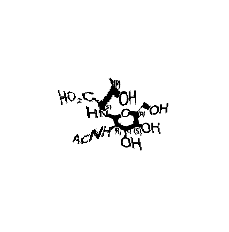 CC(=O)N[C@H]1C(N[C@H](C(=O)O)[C@@H](C)O)O[C@H](CO)[C@@H](O)[C@@H]1O